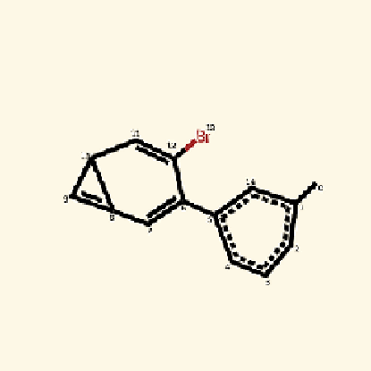 Cc1cccc(C2=CC3=CC3C=C2Br)c1